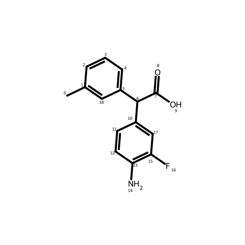 Cc1cccc(C(C(=O)O)c2ccc(N)c(F)c2)c1